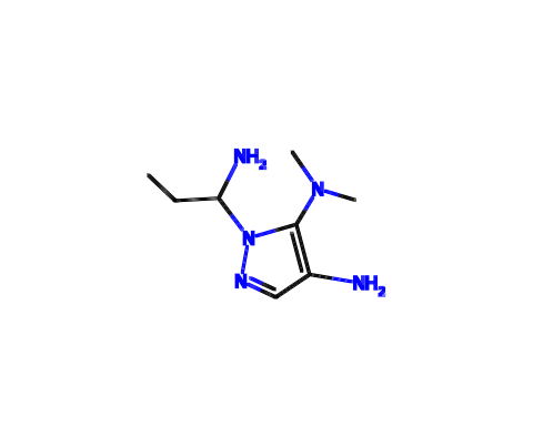 CCC(N)n1ncc(N)c1N(C)C